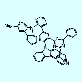 N#Cc1ccc2c(c1)c1ccccc1n2-c1ccccc1-c1ccc(-n2c3ccccc3c3cc(C#N)ccc32)c(-c2nc(-c3ccccc3)nc(-c3ccccc3)n2)c1